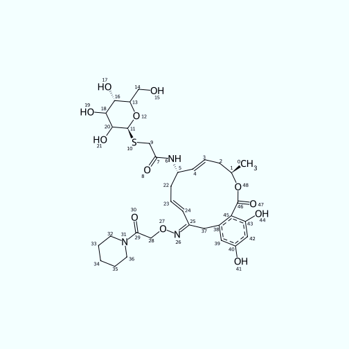 C[C@@H]1C/C=C/[C@@H](NC(=O)CS[C@@H]2OC(CO)[C@@H](O)C(O)C2O)C/C=C/C(=N\OCC(=O)N2CCCCC2)Cc2cc(O)cc(O)c2C(=O)O1